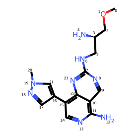 COC[C@H](N)CNc1ncc2c(N)ncc(-c3cnn(C)c3)c2n1